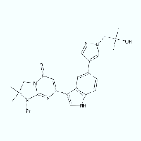 CC(C)N1c2nc(-c3c[nH]c4ccc(-c5cnn(CC(C)(C)O)c5)cc34)cc(=O)n2CC1(C)C